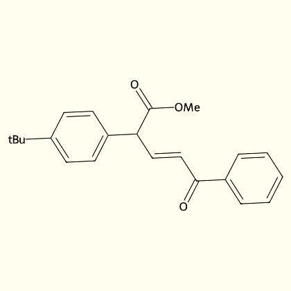 COC(=O)C(/C=C/C(=O)c1ccccc1)c1ccc(C(C)(C)C)cc1